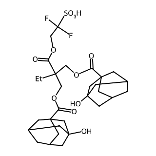 CCC(COC(=O)C12CC3CC(CC(O)(C3)C1)C2)(COC(=O)C12CC3CC(CC(O)(C3)C1)C2)C(=O)OCC(F)(F)S(=O)(=O)O